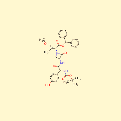 COCC(C)=C(C(=O)OC(c1ccccc1)c1ccccc1)N1CC(NC(=O)C(NC(=O)OC(C)(C)C)c2ccc(O)cc2)C1=O